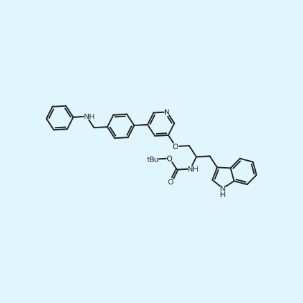 CC(C)(C)OC(=O)NC(COc1cncc(-c2ccc(CNc3ccccc3)cc2)c1)Cc1c[nH]c2ccccc12